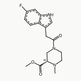 COC(=O)[C@H]1CN(C(=O)Cc2c[nH]c3cc(F)ccc23)CCN1C